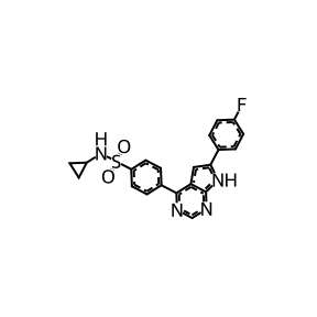 O=S(=O)(NC1CC1)c1ccc(-c2ncnc3[nH]c(-c4ccc(F)cc4)cc23)cc1